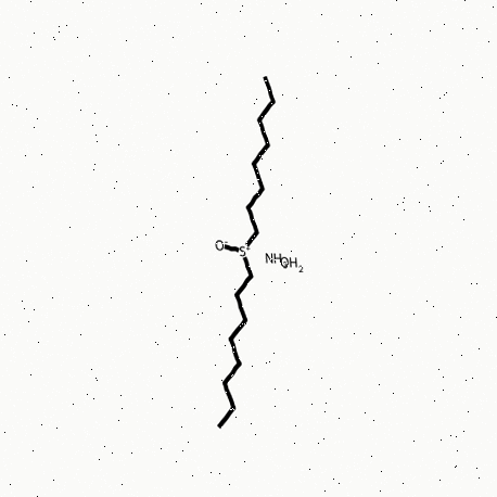 CCCCCCCC[S+]([O-])CCCCCCCC.N.O